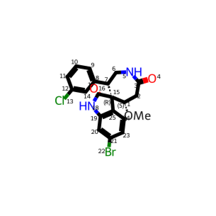 CO[C@H]1CC(=O)NCC(c2cccc(Cl)c2)[C@]12C(=O)Nc1cc(Br)ccc12